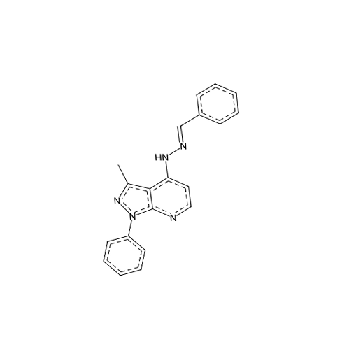 Cc1nn(-c2ccccc2)c2nccc(N/N=C/c3ccccc3)c12